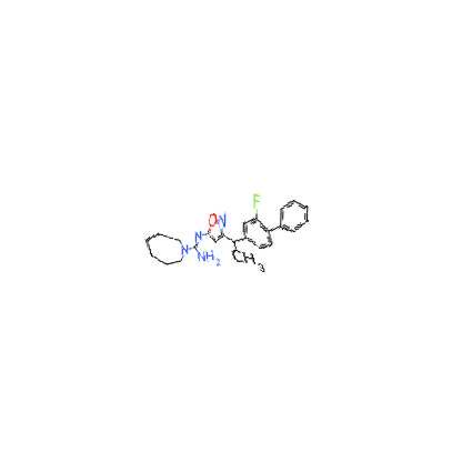 CC(c1ccc(-c2ccccc2)c(F)c1)c1cc(N=C(N)N2CCCCCC2)on1